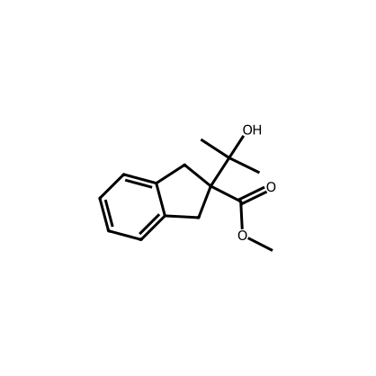 COC(=O)C1(C(C)(C)O)Cc2ccccc2C1